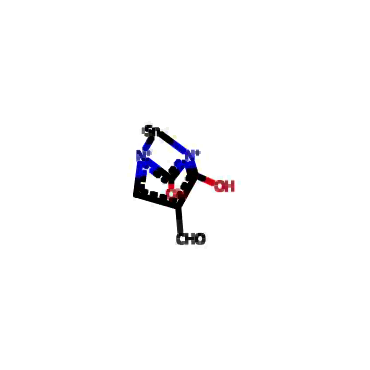 O=Cc1c[n+]2c(O)[n+](c1O)[Sn]2